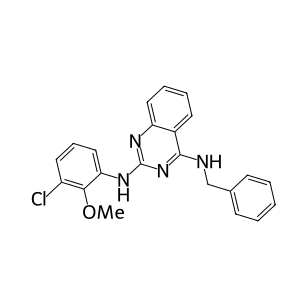 COc1c(Cl)cccc1Nc1nc(NCc2ccccc2)c2ccccc2n1